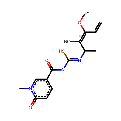 C=C/C(OC(C)C)=C(/C#N)C(C)/N=C(\S)NC(=O)c1ccc(=O)n(C)c1